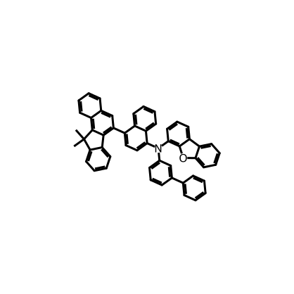 CC1(C)c2ccccc2-c2c(-c3ccc(N(c4cccc(-c5ccccc5)c4)c4cccc5c4oc4ccccc45)c4ccccc34)cc3ccccc3c21